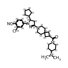 CN(C)C1CCN(C(=O)C2CC3(CCN(C4=NN(c5ccc(C#N)c(Cl)c5)C(C5CCCC5)C4)CC3)C2)CC1